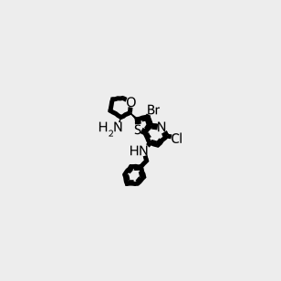 N[C@@H]1CCCO[C@H]1c1sc2c(NCc3ccccc3)cc(Cl)nc2c1Br